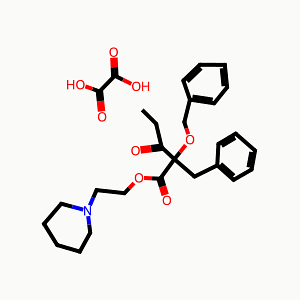 CCC(=O)C(Cc1ccccc1)(OCc1ccccc1)C(=O)OCCN1CCCCC1.O=C(O)C(=O)O